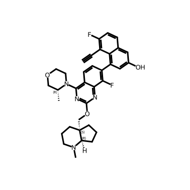 C#Cc1c(F)ccc2cc(O)cc(-c3ccc4c(N5CCOC[C@H]5C)nc(OC[C@]56CCC[C@H]5N(C)CCC6)nc4c3F)c12